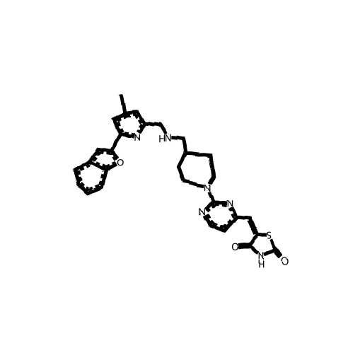 Cc1cc(CNCC2CCN(c3nccc(C=C4SC(=O)NC4=O)n3)CC2)nc(-c2cc3ccccc3o2)c1